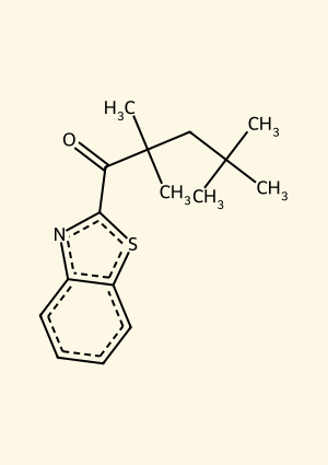 CC(C)(C)CC(C)(C)C(=O)c1nc2ccccc2s1